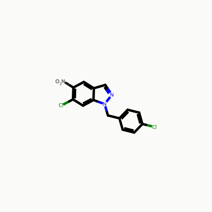 O=[N+]([O-])c1cc2cnn(Cc3ccc(Cl)cc3)c2cc1Cl